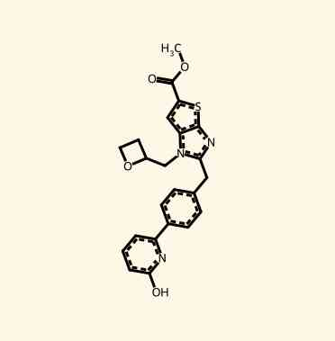 COC(=O)c1cc2c(nc(Cc3ccc(-c4cccc(O)n4)cc3)n2CC2CCO2)s1